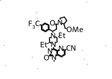 CC[C@H]1CN(C(CC(=O)N2CCCC2COC)c2ccc(C(F)(F)F)cc2)[C@H](CC)CN1c1nc(=O)n(C)c2ccc(C#N)nc12